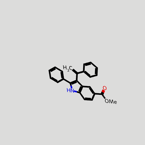 C=C(c1ccccc1)c1c(-c2ccccc2)[nH]c2ccc(C(=O)OC)cc12